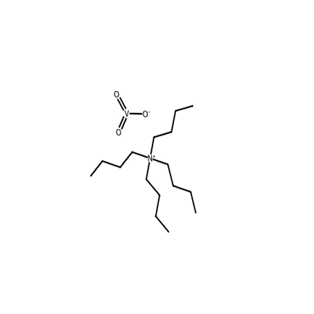 CCCC[N+](CCCC)(CCCC)CCCC.[O]=[V](=[O])[O-]